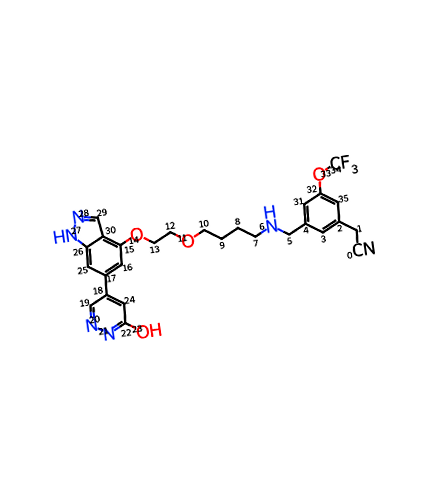 N#CCc1cc(CNCCCCOCCOc2cc(-c3cnnc(O)c3)cc3[nH]ncc23)cc(OC(F)(F)F)c1